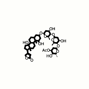 CC(=O)O[C@H]1C[C@H](O[C@H]2[C@@H](O)CC(O[C@H]3[C@@H](O)C[C@@H](OC4CC(O)C5(C)C(CCC6C5CCC5(C)C(C7=CC(=O)OC7)CCC65O)C4)O[C@@H]3C)O[C@@H]2C)O[C@H](C)[C@H]1O